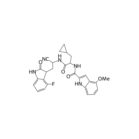 COc1cccc2[nH]c(C(=O)NC(CC3CC3)C(=O)NC(C#N)CC3C(=O)Nc4cccc(F)c43)cc12